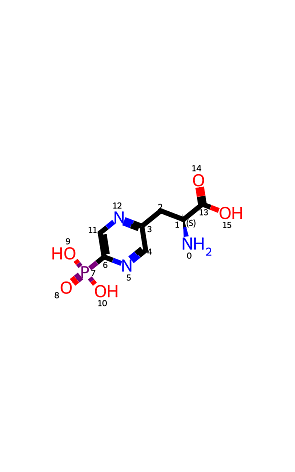 N[C@@H](Cc1cnc(P(=O)(O)O)cn1)C(=O)O